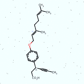 CC#C[C@@H](CC(=O)O)c1ccc(OC/C=C(\C)CCC=C(C)C)cc1